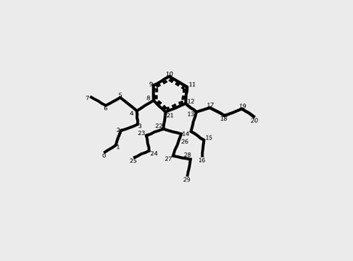 CCCCC(CCC)c1[c]ccc(C(CCC)CCCC)c1C(CCC)CCCC